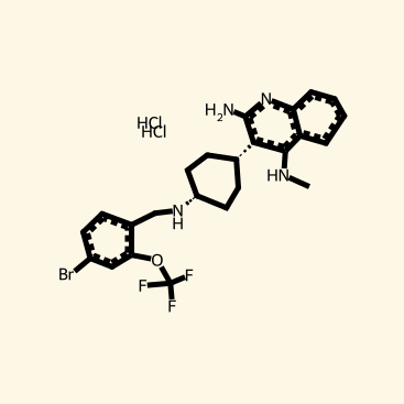 CNc1c2ccccc2nc(N)c1[C@H]1CC[C@@H](NCc2ccc(Br)cc2OC(F)(F)F)CC1.Cl.Cl